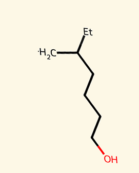 [CH2]C(CC)CCCCO